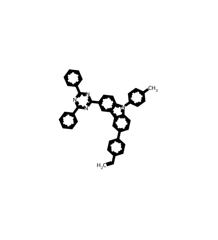 C=Cc1ccc(-c2ccc3c(c2)c2cc(-c4nc(-c5ccccc5)nc(-c5ccccc5)n4)ccc2n3-c2ccc(C)cc2)cc1